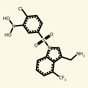 NCc1cn(S(=O)(=O)c2ccc(Cl)c(N(O)O)c2)c2cccc(C(F)(F)F)c12